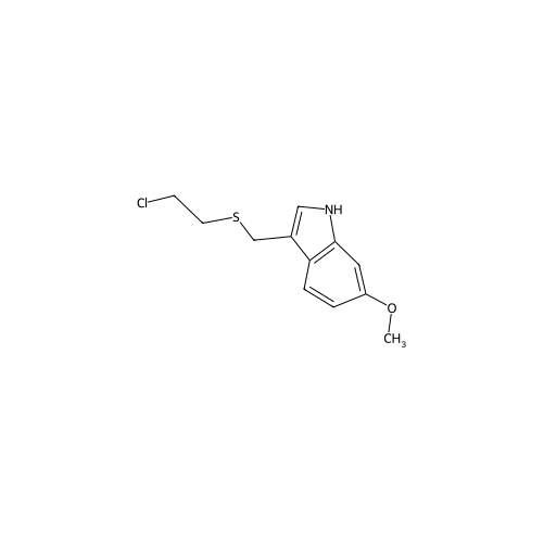 COc1ccc2c(CSCCCl)c[nH]c2c1